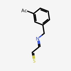 CC(=O)c1cccc(CN=CC=S)c1